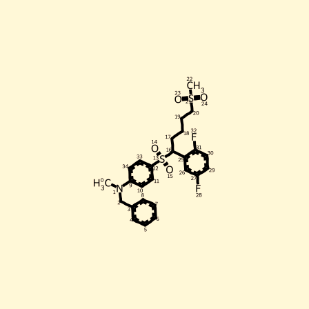 CN(Cc1ccccc1)c1ccc(S(=O)(=O)C(CCCCS(C)(=O)=O)c2cc(F)ccc2F)cc1